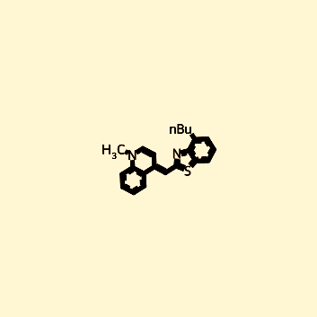 CCCCc1cccc2sc(/C=C3\C=CN(C)c4ccccc43)nc12